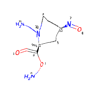 NOC(=O)[C@@H]1C[C@H](N=O)CN1N